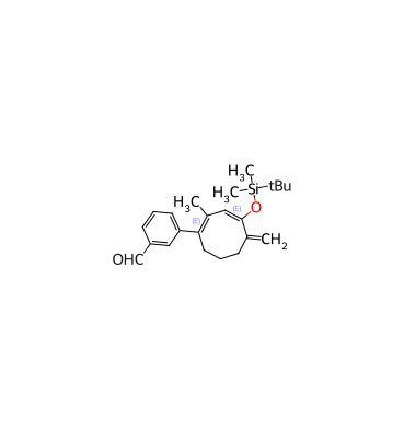 C=C1CCC/C(c2cccc(C=O)c2)=C(C)\C=C/1O[Si](C)(C)C(C)(C)C